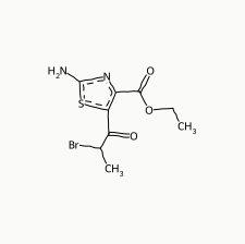 CCOC(=O)c1nc(N)sc1C(=O)C(C)Br